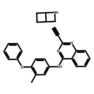 C#Cc1nc(Nc2ccc(Oc3ccccc3)c(C)c2)c2ccccc2n1.C1CC2NCC12